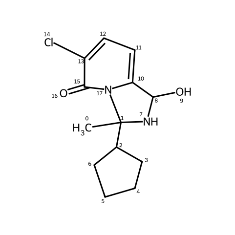 CC1(C2CCCC2)NC(O)c2ccc(Cl)c(=O)n21